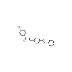 O=C(C=Cc1ccc(OCc2ccccc2)cc1)c1ccc(Cl)cc1